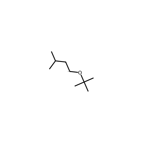 CC(C)C[CH]OC(C)(C)C